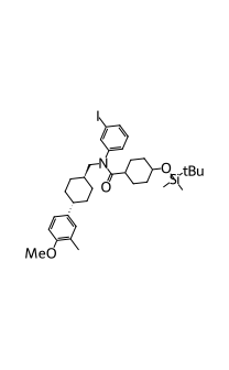 COc1ccc([C@H]2CC[C@H](CN(C(=O)C3CCC(O[Si](C)(C)C(C)(C)C)CC3)c3cccc(I)c3)CC2)cc1C